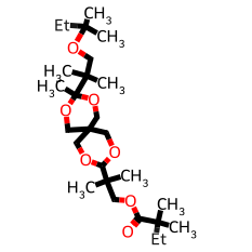 CCC(C)(C)OCC(C)(C)C1(C)OCC2(COC(C(C)(C)COC(=O)C(C)(C)CC)OC2)CO1